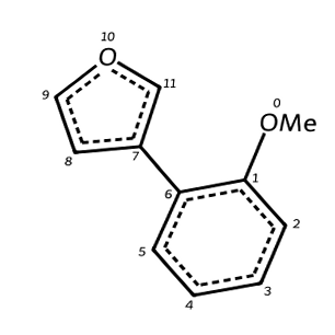 COc1ccccc1-c1ccoc1